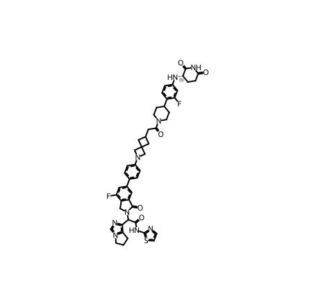 O=C1CC[C@H](Nc2ccc(C3CCN(C(=O)CC4CC5(C4)CN(c4ccc(-c6cc(F)c7c(c6)C(=O)N(C(C(=O)Nc6nccs6)c6ncn8c6CCC8)C7)cc4)C5)CC3)c(F)c2)C(=O)N1